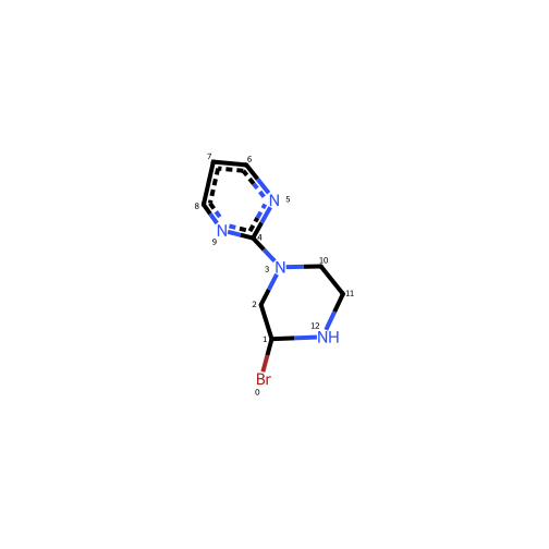 BrC1CN(c2ncccn2)CCN1